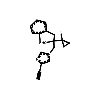 C#Cc1cn(CC(O)(Cc2ccccc2F)C2(Cl)CC2)cn1